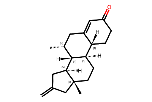 C=C1C[C@H]2[C@H]3[C@H](CC[C@]2(C)C1)[C@H]1CCC(=O)C=C1C[C@H]3C